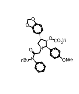 CCCCN(C(=O)CN1C[C@H](c2ccc3c(c2)OCO3)[C@H](OC(=O)O)[C@H]1c1ccc(OC)cc1)c1ccccc1